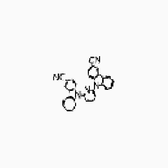 N#Cc1ccc2c(c1)c1c(n2-c2cccc(-n3c4ccccc4c4cc(C#N)ccc43)n2)CCCC=C1